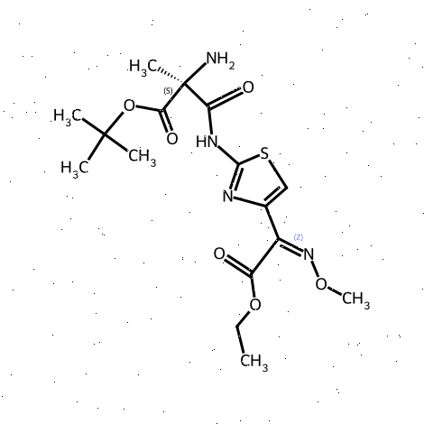 CCOC(=O)/C(=N\OC)c1csc(NC(=O)[C@](C)(N)C(=O)OC(C)(C)C)n1